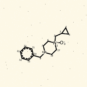 [O-][N+]1(CC2CC2)CCP(Cc2ccccc2)CC1